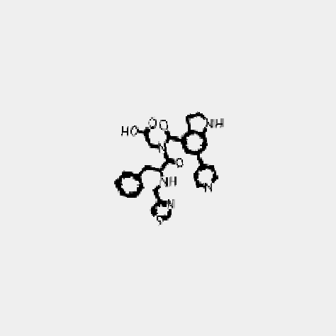 O=C(O)CN(C(=O)c1cc(-c2ccncc2)cc2c1CCN2)C(=O)C(Cc1ccccc1)NCc1cscn1